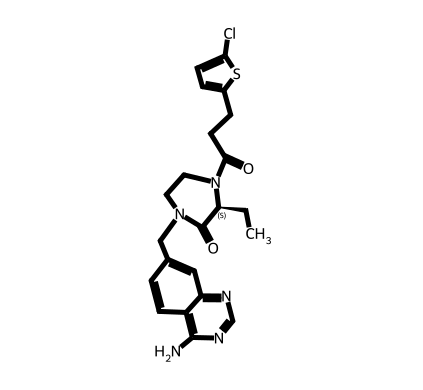 CC[C@H]1C(=O)N(Cc2ccc3c(N)ncnc3c2)CCN1C(=O)CCc1ccc(Cl)s1